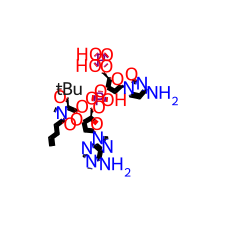 C=CCCC(=O)N(C)[C@@H](COC(C)(C)C)C(=O)OC1C[C@H](n2cnc3c2N=CN(C)C3N)O[C@@H]1COP(=O)(O)OC1C[C@H](n2ccc(N)nc2=O)O[C@@H]1COP(=O)(O)O